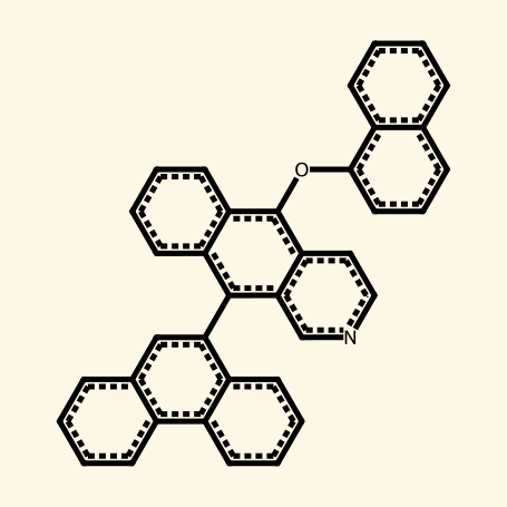 c1ccc2c(Oc3c4ccccc4c(-c4cc5ccccc5c5ccccc45)c4cnccc34)cccc2c1